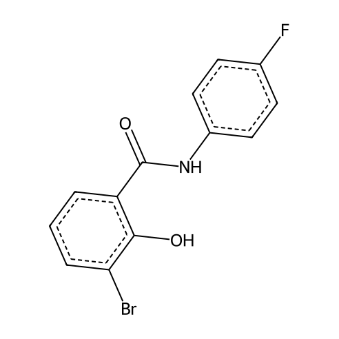 O=C(Nc1ccc(F)cc1)c1cccc(Br)c1O